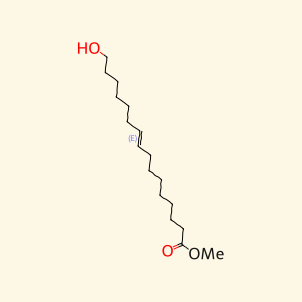 COC(=O)CCCCCCC/C=C/CCCCCCO